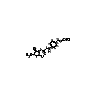 CC1CC(=O)N(CC(=O)CNc2ccc(COC=O)cc2)C1=O